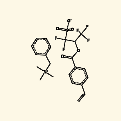 C=Cc1ccc(C(=O)OC(C(F)(F)F)C(F)(F)S(=O)(=O)[O-])cc1.C[N+](C)(C)Cc1ccccc1